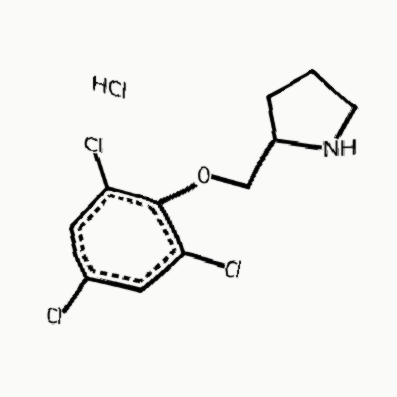 Cl.Clc1cc(Cl)c(OCC2CCCN2)c(Cl)c1